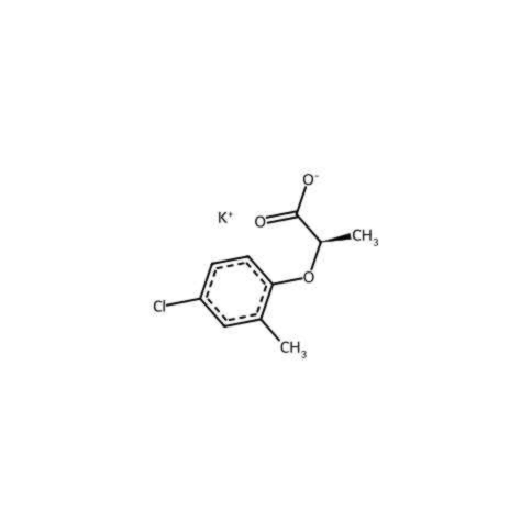 Cc1cc(Cl)ccc1O[C@H](C)C(=O)[O-].[K+]